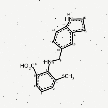 Cc1cccc(C(=O)O)c1NCc1ccc2[nH]ccc2c1